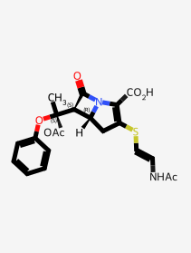 CC(=O)NC=CSC1=C(C(=O)O)N2C(=O)[C@H]([C@](C)(OC(C)=O)Oc3ccccc3)[C@H]2C1